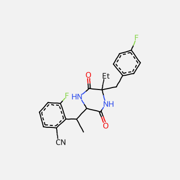 CCC1(Cc2ccc(F)cc2)NC(=O)C(C(C)c2c(F)cccc2C#N)NC1=O